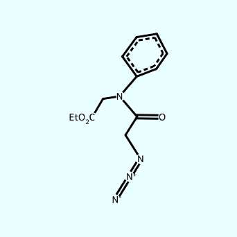 CCOC(=O)CN(C(=O)CN=[N+]=[N-])c1ccccc1